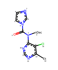 CCCCCCCCCCN(C(=O)n1ccnc1)c1ncnc(CC)c1Cl